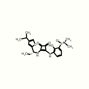 CC[C@@H](Nc1c(Nc2cccc([S+]([O-])N(C)C)c2O)c(=O)c1=O)c1cc(C(C)C)co1